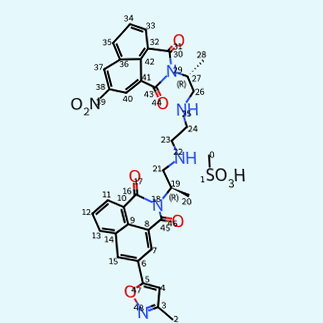 CS(=O)(=O)O.Cc1cc(-c2cc3c4c(cccc4c2)C(=O)N([C@H](C)CNCCNC[C@@H](C)N2C(=O)c4cccc5cc([N+](=O)[O-])cc(c45)C2=O)C3=O)on1